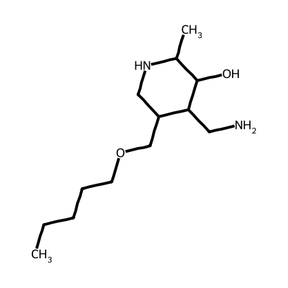 CCCCCOCC1CNC(C)C(O)C1CN